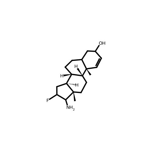 C[C@]12C=CC(O)CC1CC[C@@H]1[C@H]2CC[C@]2(C)C(N)C(F)C[C@@H]12